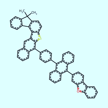 CC1(C)c2ccccc2-c2c1ccc1sc3c(-c4ccc(-c5c6ccccc6c(-c6ccc7c(c6)oc6ccccc67)c6ccccc56)cc4)c4ccccc4cc3c21